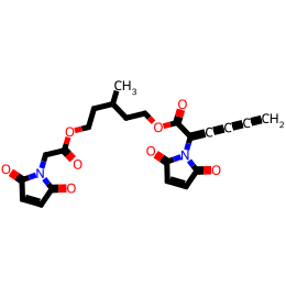 C=C=C=C=C(C(=O)OCCC(C)CCOC(=O)CN1C(=O)C=CC1=O)N1C(=O)C=CC1=O